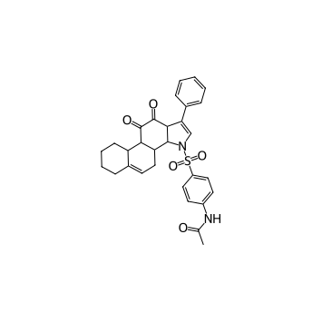 CC(=O)Nc1ccc(S(=O)(=O)N2C=C(c3ccccc3)C3C(=O)C(=O)C4C5CCCCC5=CCC4C32)cc1